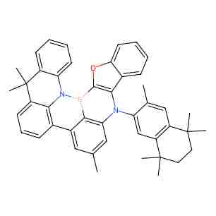 Cc1cc2c3c(c1)N(c1cc4c(cc1C)C(C)(C)CCC4(C)C)c1c(oc4ccccc14)B3N1c3ccccc3C(C)(C)c3cccc-2c31